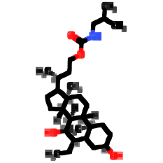 CC[C@@H]1C2C[C@H](O)CC[C@]2(C)[C@H]2CC[C@]3(C)C([C@H](C)CCOC(=O)NCC(C)C)CC[C@H]3[C@@H]2[C@@H]1O